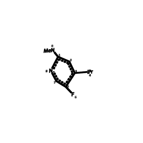 CNc1cc(C(C)C)c(F)cn1